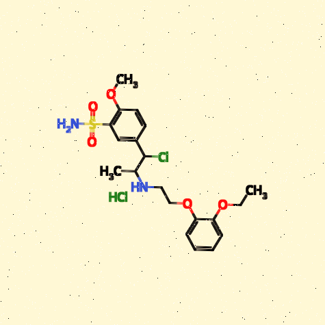 CCOc1ccccc1OCCNC(C)C(Cl)c1ccc(OC)c(S(N)(=O)=O)c1.Cl